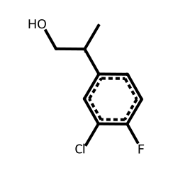 C[C](CO)c1ccc(F)c(Cl)c1